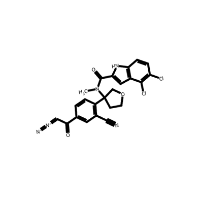 CN(C(=O)c1cc2c(Cl)c(Cl)ccc2[nH]1)C1(c2ccc(C(=O)C=[N+]=[N-])cc2C#N)CCOC1